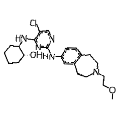 COCCN1CCc2ccc(Nc3ncc(Cl)c(N[C@@H]4CCCC[C@H]4O)n3)cc2CC1